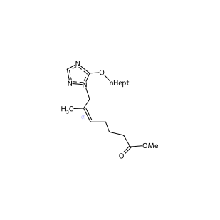 CCCCCCCOc1ncnn1C/C(C)=C\CCCC(=O)OC